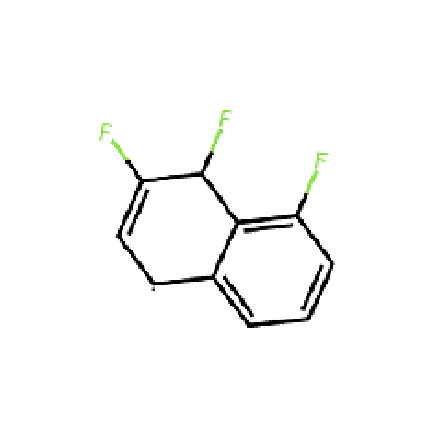 FC1=C[CH]c2cccc(F)c2C1F